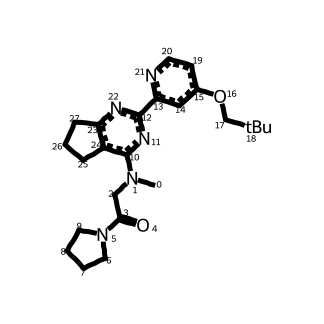 CN(CC(=O)N1CCCC1)c1nc(-c2cc(OCC(C)(C)C)ccn2)nc2c1CCC2